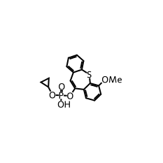 COc1cccc2c1Sc1ccccc1C=C2OP(=O)(O)OC1CC1